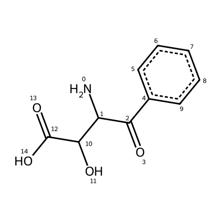 NC(C(=O)c1ccccc1)C(O)C(=O)O